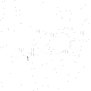 CC(C)CC(N)C(=O)NCCCN1CCN(C(=O)O)CC(C(C)(C)C)N(C(=O)O)C(C(C)(C)C)C(C(C)(C)C)N(C(=O)O)CC1